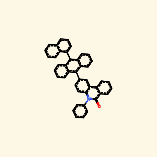 O=c1c2ccccc2c2cc(-c3c4ccccc4c(-c4cccc5ccccc45)c4ccccc34)ccc2n1-c1ccccc1